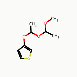 COC(C)OC(C)Oc1ccsc1